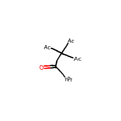 CCCC(=O)C(C(C)=O)(C(C)=O)C(C)=O